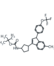 Cc1ccc2c(c1)C(c1ccc(OC(F)(F)F)cc1)C=C2C1CCC(NC(=O)OC(C)(C)C)C1